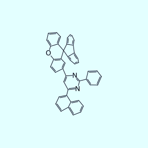 c1ccc(-c2nc(-c3ccc4c(c3)C3(c5ccccc5O4)c4ccccc4-c4ccccc43)cc(-c3cccc4ccccc34)n2)cc1